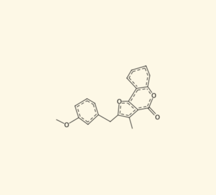 COc1cccc(Cc2oc3c(c2C)c(=O)oc2ccccc23)c1